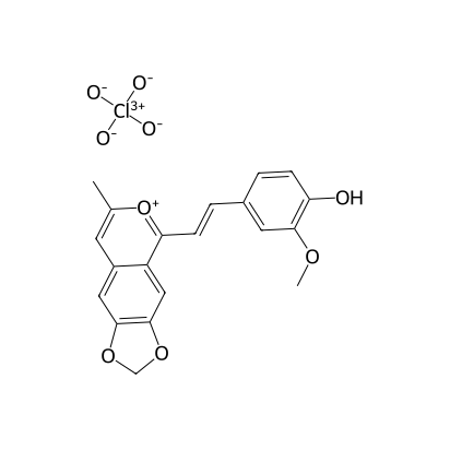 COc1cc(C=Cc2[o+]c(C)cc3cc4c(cc23)OCO4)ccc1O.[O-][Cl+3]([O-])([O-])[O-]